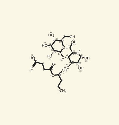 CCCC(O)OC(=O)CCC(=O)O.OC[C@H]1O[C@@H](O[C@H]2[C@H](O)[C@@H](O)[C@H](O)O[C@@H]2CO)[C@H](O)[C@@H](O)[C@@H]1O